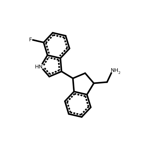 NCC1CC(c2c[nH]c3c(F)cccc23)c2ccccc21